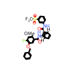 COc1cc(F)c(OCc2ccccc2)cc1C(=O)N[C@H]1[C@@H](C(=O)Nc2cccc(S(=O)(=O)C(F)(F)F)c2)[C@@H]2C=C[C@H]1C2